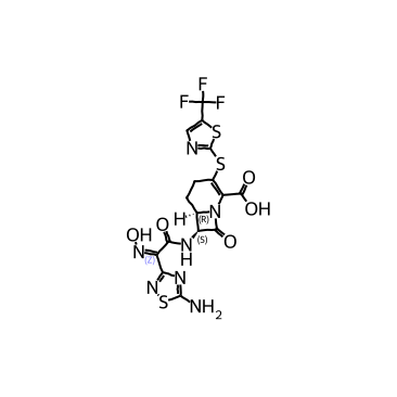 Nc1nc(/C(=N/O)C(=O)N[C@@H]2C(=O)N3C(C(=O)O)=C(Sc4ncc(C(F)(F)F)s4)CC[C@H]23)ns1